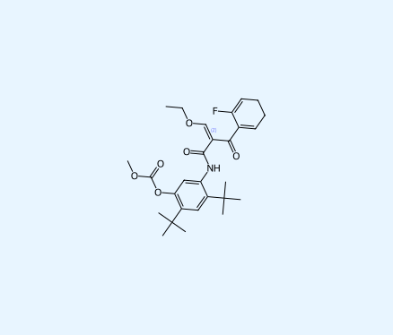 CCO/C=C(\C(=O)Nc1cc(OC(=O)OC)c(C(C)(C)C)cc1C(C)(C)C)C(=O)C1=CCCC=C1F